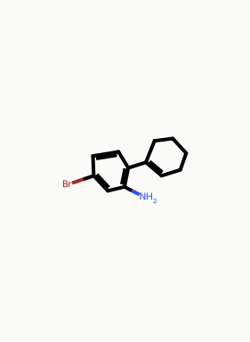 Nc1cc(Br)ccc1C1=CCCCC1